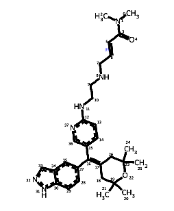 CN(C)C(=O)/C=C/CNCCNc1ccc(C(=C2CC(C)(C)OC(C)(C)C2)c2ccc3[nH]ncc3c2)cn1